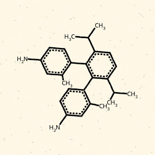 Cc1cc(N)ccc1-c1c(C(C)C)ccc(C(C)C)c1-c1ccc(N)cc1C